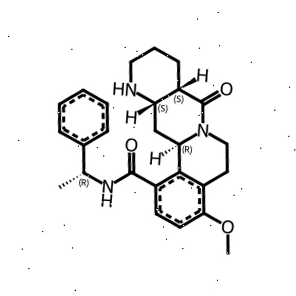 COc1ccc(C(=O)N[C@H](C)c2ccccc2)c2c1CCN1C(=O)[C@H]3CCCN[C@H]3C[C@H]21